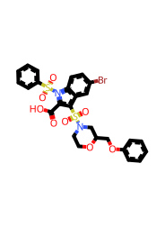 O=C(O)c1c(S(=O)(=O)N2CCOC(COc3ccccc3)C2)c2cc(Br)ccc2n1S(=O)(=O)c1ccccc1